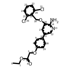 CCOC(=O)COc1ccc(-c2cnc(N)c(OCc3c(Cl)cccc3Cl)c2)cc1